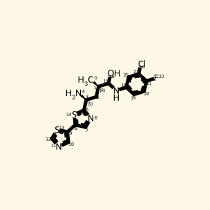 C[C@H](C[C@H](N)c1ncc(-c2cncs2)s1)C(O)Nc1ccc(F)c(Cl)c1